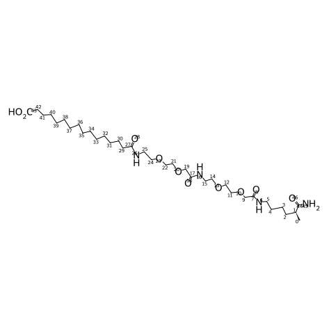 C[C@@H](CCCCNC(=O)COCCOCCNC(=O)COCCOCCNC(=O)CCCCCCCCCCCCCCC(=O)O)C(N)=O